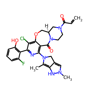 C=CC(=O)N1CCN2C(=O)c3c(N4CC5=CN(C)NC5=C4C)nc(-c4c(O)cccc4F)c(Cl)c3OC[C@H]2C1